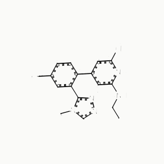 CCNc1cc(-c2ccc(Cl)cc2-c2nncn2C)cc(Cl)n1